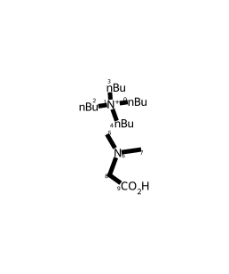 CCCC[N+](CCCC)(CCCC)CCCC.CN(C)CC(=O)O